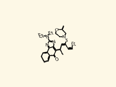 CC/C=C\C(=C/C(C)C1=C2N=C(N(CC)CC)N=C2C2=CCCC=C2C1=O)SN1CCOC(C)C1